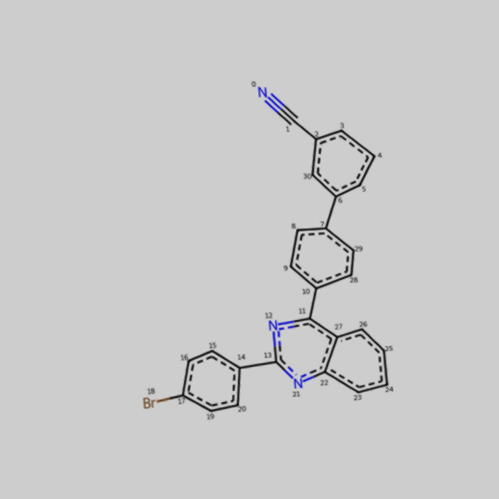 N#Cc1cccc(-c2ccc(-c3nc(-c4ccc(Br)cc4)nc4ccccc34)cc2)c1